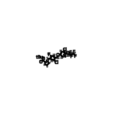 CC(C)(C)OC(=O)C1CCCN1Cc1cc(Cl)c(COc2cnc(OCC(F)(F)C(F)F)c(Cl)c2)cc1F